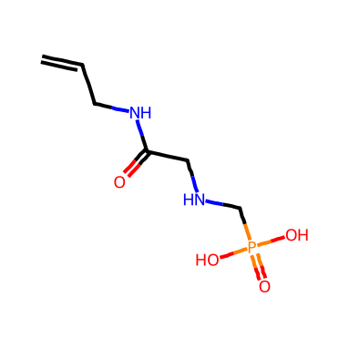 C=CCNC(=O)CNCP(=O)(O)O